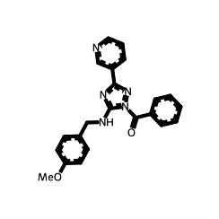 COc1ccc(CNc2nc(-c3cccnc3)nn2C(=O)c2ccccc2)cc1